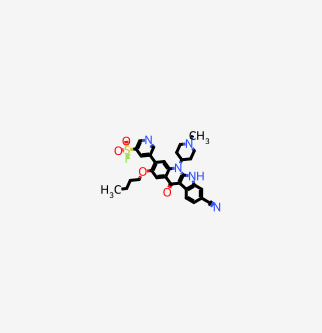 CCCCOc1cc2c(=O)c3c4ccc(C#N)cc4[nH]c3n(C3CCN(C)CC3)c2cc1-c1cncc(S(=O)(=O)F)c1